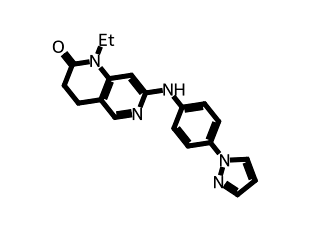 CCN1C(=O)CCc2cnc(Nc3ccc(-n4cccn4)cc3)cc21